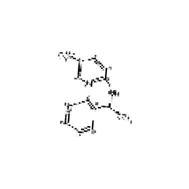 C[C@H](Nc1ccc([N+](=O)[O-])cn1)c1ccccc1